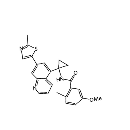 COc1ccc(C)c(C(=O)NC2(c3cc(-c4cnc(C)s4)cc4ncccc34)CC2)c1